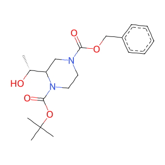 C[C@@H](O)C1CN(C(=O)OCc2ccccc2)CCN1C(=O)OC(C)(C)C